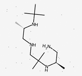 C[C@H](CN)NC(C)(C)CNC[C@H](C)NC(C)(C)C